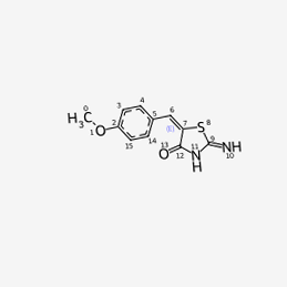 COc1ccc(/C=C2/SC(=N)NC2=O)cc1